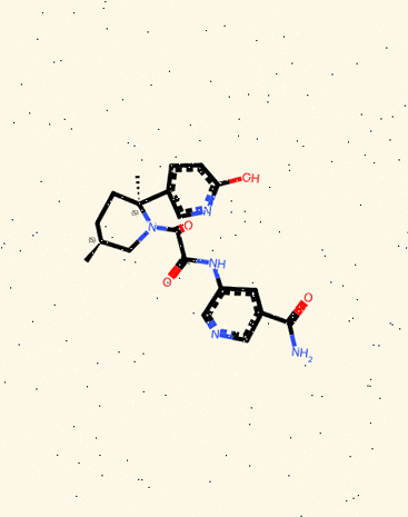 C[C@H]1CC[C@@](C)(c2ccc(O)nc2)N(C(=O)C(=O)Nc2cncc(C(N)=O)c2)C1